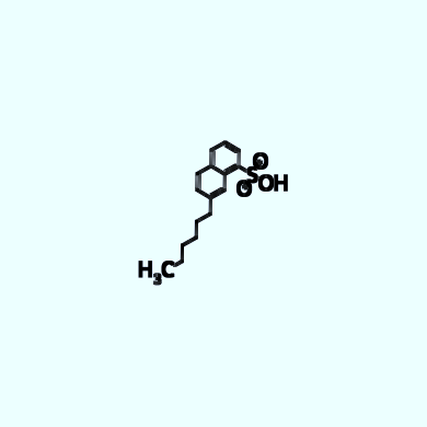 CCCCCCc1ccc2cccc(S(=O)(=O)O)c2c1